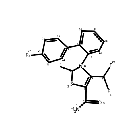 CC1SC(C(N)=O)=C(C(F)F)N1c1ccccc1-c1ccc(Br)cc1